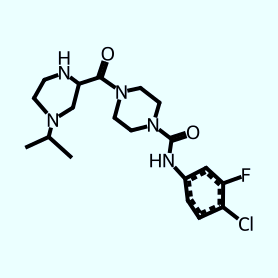 CC(C)N1CCNC(C(=O)N2CCN(C(=O)Nc3ccc(Cl)c(F)c3)CC2)C1